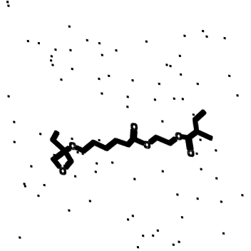 CCC(C)C(=O)OCCOC(=O)CCCCCOC1(CC)COC1